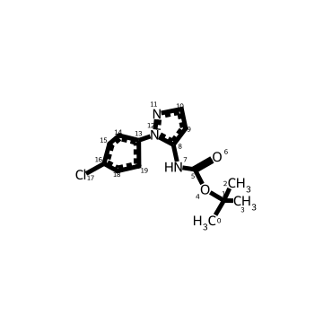 CC(C)(C)OC(=O)Nc1ccnn1-c1ccc(Cl)cc1